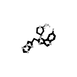 C[C@H]1C[C@@H](n2c(Cc3cn4ncsc4n3)nc3cnc4ccc(F)cc4c32)CCO1